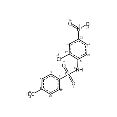 Cc1ccc(S(=O)(=O)Nc2ccc([N+](=O)[O-])cc2Cl)cc1